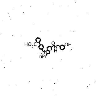 CCCc1cc2cc(C(=O)NCc3cccc(O)c3)ccc2n1Cc1ccc(-c2ccccc2C(=O)O)cc1